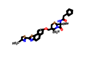 CO[C@@]1(NC(=O)Cc2ccccc2)C(=O)N2C(C(=O)O)=C(COc3ccc4c(ccc5nc(C6=NC(C(=O)O)CS6)sc54)c3)CSC21